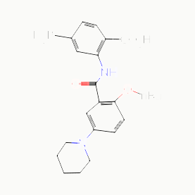 Bc1ccc(C(=O)O)c(NC(=O)c2cc(N3CCCCC3)ccc2OCCCC)c1